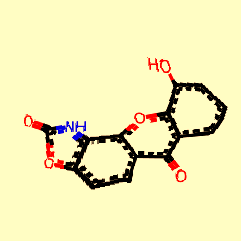 O=c1[nH]c2c(ccc3c(=O)c4cccc(O)c4oc32)o1